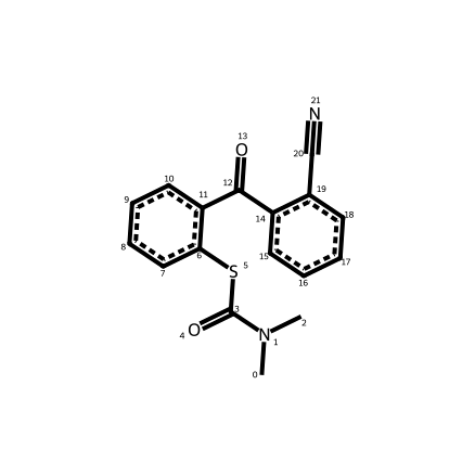 CN(C)C(=O)Sc1ccccc1C(=O)c1ccccc1C#N